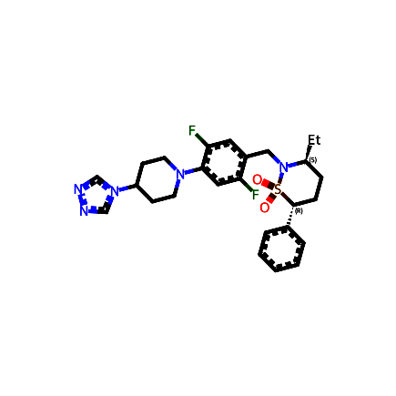 CC[C@H]1CC[C@H](c2ccccc2)S(=O)(=O)N1Cc1cc(F)c(N2CCC(n3cnnc3)CC2)cc1F